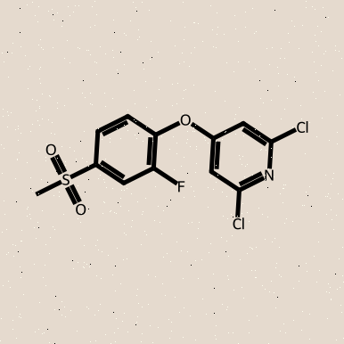 CS(=O)(=O)c1ccc(Oc2cc(Cl)nc(Cl)c2)c(F)c1